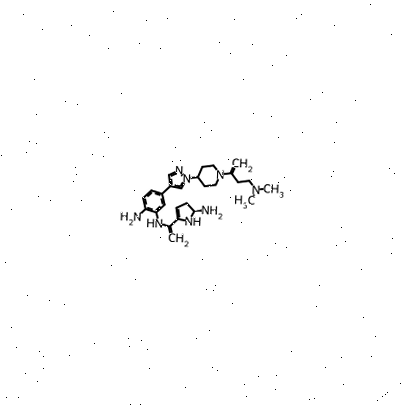 C=C(Nc1cc(-c2cnn(C3CCN(C(=C)CCN(C)C)CC3)c2)ccc1N)C1=CC[C@@H](N)N1